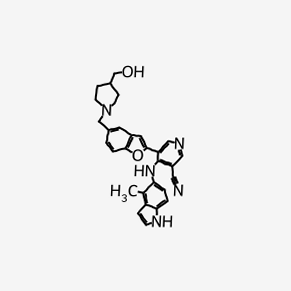 Cc1c(Nc2c(C#N)cncc2-c2cc3cc(CN4CCC(CO)CC4)ccc3o2)ccc2[nH]ccc12